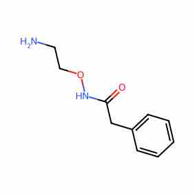 NCCONC(=O)Cc1ccccc1